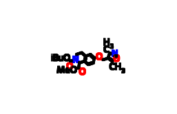 COC(=O)C1c2ccc(OCc3c(C)noc3C)cc2CCN1C(=O)OCC(C)C